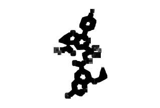 NC(=O)[C@@]12CC1Oc1c2cc([C@@](O)(CNC(=O)c2cc(OC3CC3)c3ncc(Cl)cc3c2)C(F)(F)F)nc1-c1ccc(F)cc1